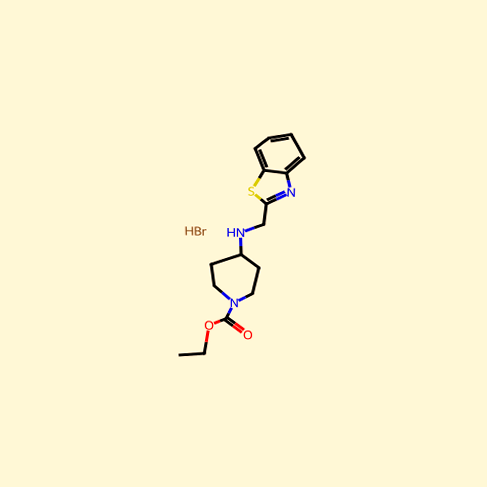 Br.CCOC(=O)N1CCC(NCc2nc3ccccc3s2)CC1